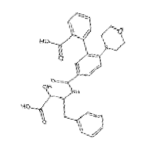 O=C(NC(Cc1ccccc1)C(O)C(=O)O)c1ccc(N2CCOCC2)c(-c2ccccc2C(=O)O)c1